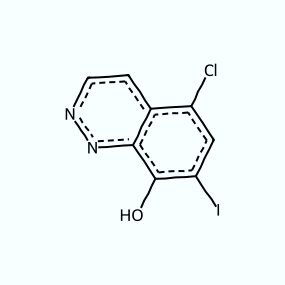 Oc1c(I)cc(Cl)c2ccnnc12